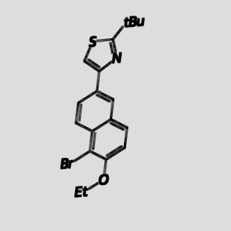 CCOc1ccc2cc(-c3csc(C(C)(C)C)n3)ccc2c1Br